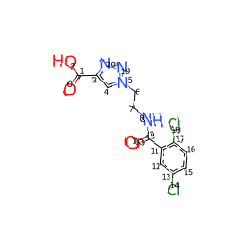 O=C(O)c1cn(CCNC(=O)c2cc(Cl)ccc2Cl)nn1